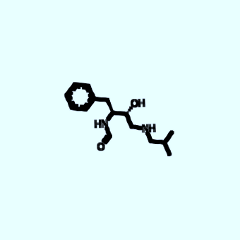 CC(C)CNC[C@@H](O)[C@H](Cc1ccccc1)NC=O